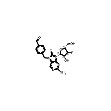 Nc1ncc2c(n1)n([C@@H]1O[C@H](CO)[C@@H](F)[C@H]1O)c(=O)n2Cc1ccc(C=O)cc1